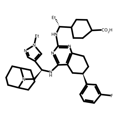 CC[C@@H](Nc1nc2c(c(N[C@@H](CN3C4CCCC3CCC4)c3cnn(CC)c3)n1)C[C@H](c1cccc(F)c1)CC2)C1CCC(C(=O)O)CC1